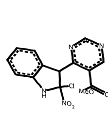 COC(=O)c1cncnc1C1c2ccccc2NC1(Cl)[N+](=O)[O-]